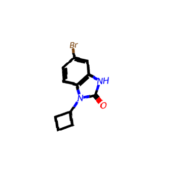 O=c1[nH]c2cc(Br)ccc2n1C1CCC1